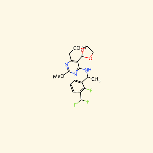 COc1nc(CC(=O)O)c(C2OCCO2)c(NC(C)c2cccc(C(F)F)c2F)n1